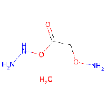 NNOC(=O)CON.O